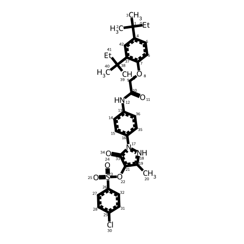 CCC(C)(C)c1ccc(OCC(=O)Nc2ccc(-n3[nH]c(C)c(OS(=O)(=O)c4ccc(Cl)cc4)c3=O)cc2)c(C(C)(C)CC)c1